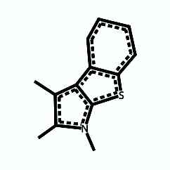 Cc1c(C)n(C)c2sc3ccccc3c12